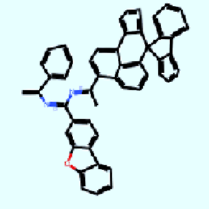 C=C(/N=C(\N=C(/C)c1ccc2c3c(cccc13)C1(c3ccccc3-c3ccccc31)c1ccccc1-2)c1ccc2c(c1)oc1ccccc12)c1ccccc1